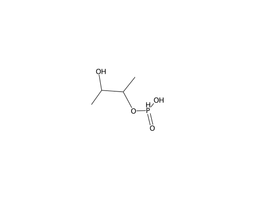 CC(O)C(C)O[PH](=O)O